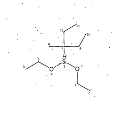 CCO[SiH](OCC)C(C)(CC)CC